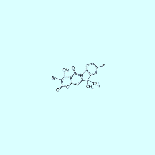 CC1(C)c2cc(F)ccc2-n2c1cc1oc(=O)c(Br)c(O)c1c2=O